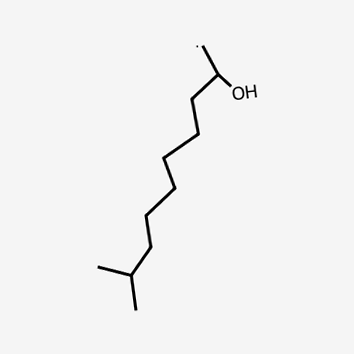 [CH2]C(O)CCCCCCC(C)C